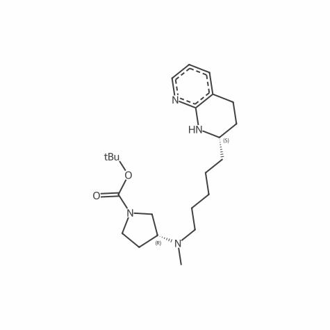 CN(CCCCC[C@H]1CCc2cccnc2N1)[C@@H]1CCN(C(=O)OC(C)(C)C)C1